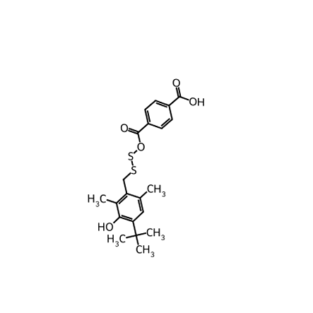 Cc1cc(C(C)(C)C)c(O)c(C)c1CSSOC(=O)c1ccc(C(=O)O)cc1